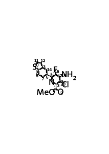 COC(=O)c1nc(-c2ccc3sccc3c2)c(F)c(N)c1Cl